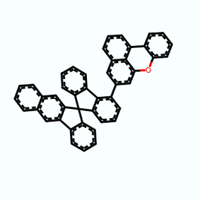 c1ccc2c(c1)Oc1cc(-c3cccc4c3-c3ccccc3C43c4ccccc4-c4cc5ccccc5cc43)cc3cccc-2c13